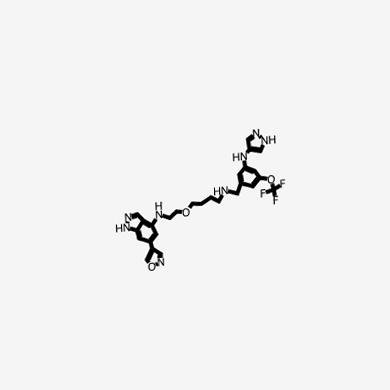 FC(F)(F)Oc1cc(CNCCCCOCCNc2cc(-c3cnoc3)cc3[nH]ncc23)cc(Nc2cn[nH]c2)c1